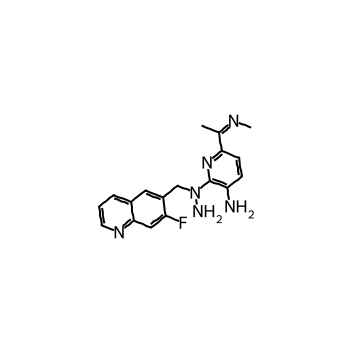 C/N=C(/C)c1ccc(N)c(N(N)Cc2cc3cccnc3cc2F)n1